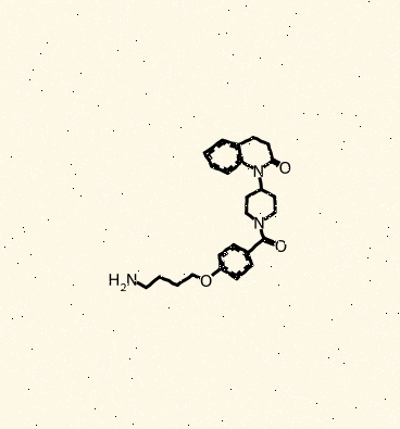 NCCCCOc1ccc(C(=O)N2CCC(N3C(=O)CCc4ccccc43)CC2)cc1